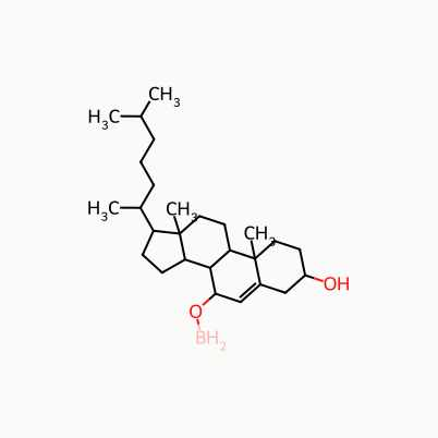 BOC1C=C2CC(O)CCC2(C)C2CCC3(C)C(C(C)CCCC(C)C)CCC3C12